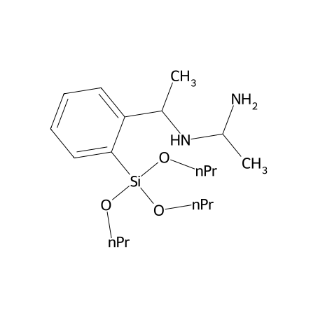 CCCO[Si](OCCC)(OCCC)c1ccccc1C(C)NC(C)N